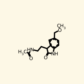 COCc1ccc2c(c1)C(CCNC(C)=O)C(=O)N2